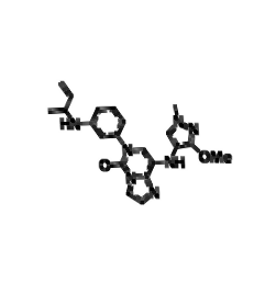 C=CC(=C)Nc1cccc(-n2cc(Nc3cn(C)nc3OC)c3nccn3c2=O)c1